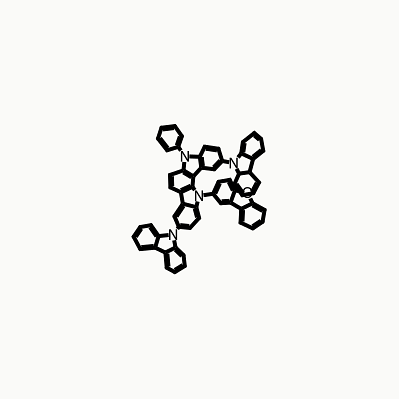 C1=CC2c3ccccc3N(c3ccc4c(c3)c3c(ccc5c6cc(-n7c8ccccc8c8ccccc87)ccc6n(-c6ccc7oc8ccccc8c7c6)c53)n4-c3ccccc3)C2C=C1